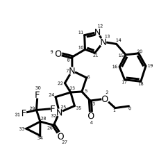 CCOC(=O)C1CN(C(=O)c2cnn(Cc3ccccc3)c2)CC12CN(C(=O)C1(C(F)(F)F)CC1)C2